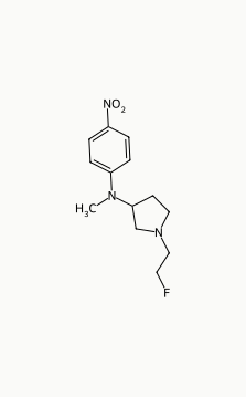 CN(c1ccc([N+](=O)[O-])cc1)C1CCN(CCF)C1